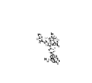 CC1CCCC(C)C1C(=O)n1nc(C2CCN(C(=O)OC(C)(C)C)CC2)cc1NCc1ccc(Cl)s1